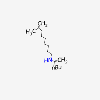 C=C(C)CCCCCCCNC(=C)CCCC